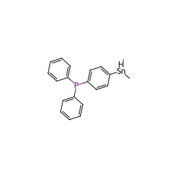 [CH3][SnH]([CH3])[c]1ccc(P(c2ccccc2)c2ccccc2)cc1